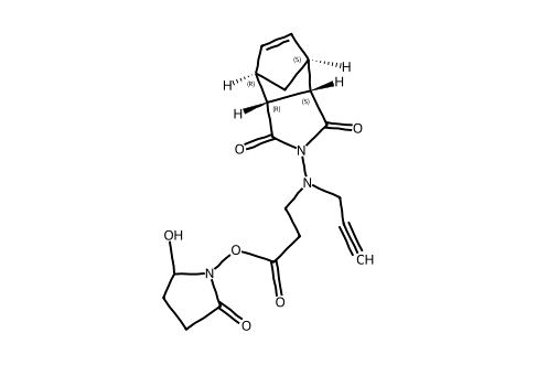 C#CCN(CCC(=O)ON1C(=O)CCC1O)N1C(=O)[C@@H]2[C@H](C1=O)[C@H]1C=C[C@@H]2C1